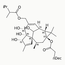 CCCCCCCCCCCC(=O)O[C@@]12C[C@@H](C)[C@]34C=C(C)[C@H](O)[C@@]3(O)[C@H](O)C(COC(=O)C(C)C(C)C)=C[C@H](C4O)[C@@H]1C2(C)C